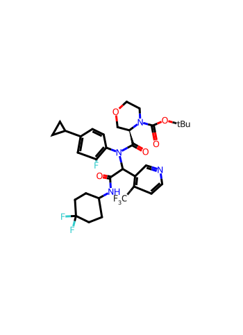 CC(C)(C)OC(=O)N1CCOC[C@@H]1C(=O)N(c1ccc(C2CC2)cc1F)C(C(=O)NC1CCC(F)(F)CC1)c1cnccc1C(F)(F)F